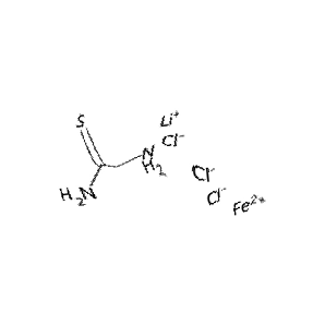 NC(N)=S.[Cl-].[Cl-].[Cl-].[Fe+2].[Li+]